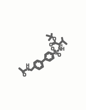 CC(=O)NCc1ccc(-c2ccc(S(=O)(=O)N[C@@H](C(=O)OC(C)(C)C)C(C)C)cc2)cc1